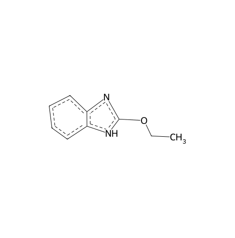 CCOc1nc2ccccc2[nH]1